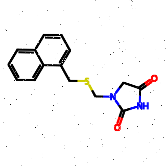 O=C1CN(CSCc2cccc3ccccc23)C(=O)N1